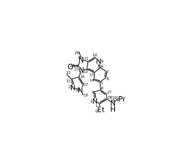 CCc1ncc(-c2ccc3ncc4c(c3c2)n(-c2cn(C)nc2C)c(=O)n4C)cc1NC(C)C